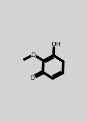 COC1=C(O)CC=CC1=O